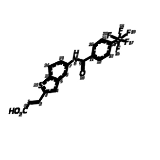 O=C(O)/C=C/c1cc2cc(NC(=O)c3ccc(S(F)(F)(F)(F)F)cc3)ccc2s1